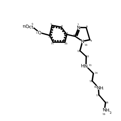 CCCCCCCCOc1ccc(C2=NCCN2CCNCCNCCN)cc1